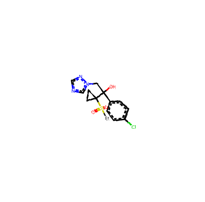 CCS(=O)(=O)C1(C(O)(Cn2cncn2)c2ccc(Cl)cc2)CC1